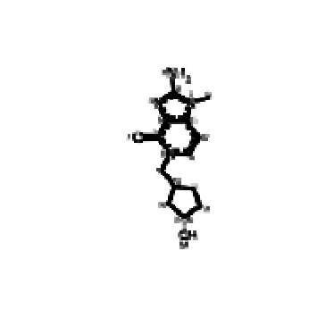 Cn1c(N)nc2c(=O)n(CC3CC[C@H](O)C3)ccc21